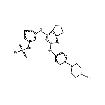 CC(C)S(=O)(=O)Nc1cccc(Nc2nc(Nc3ccc(N4CCN(C)CC4)cc3)nc3c2CCC3)c1